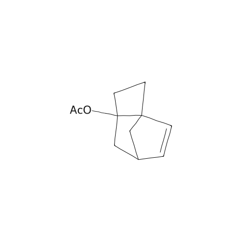 CC(=O)OC12CCC13C=CC(C3)C2